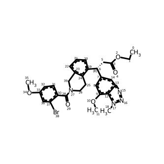 CCOC(=O)C[C@H](c1cc(OC)c2c(c1)nnn2C)c1cccc2c1CCN(C(=O)c1ccc(OC)cc1Br)C2